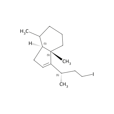 CC1CCC[C@]2(C)C([C@@H](C)CCI)=CC[C@@H]12